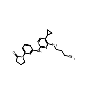 NCCCNc1nc(Nc2cccc(N3CCCC3=O)c2)ncc1C1CC1